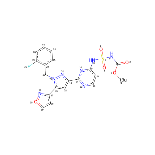 CC(C)(C)OC(=O)NS(=O)(=O)Nc1ccnc(-c2cc(-c3ccon3)n(Cc3ccccc3F)n2)n1